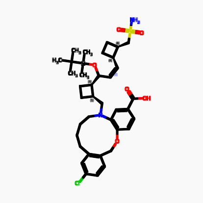 CC(C)(C)[Si](C)(C)OC(/C=C\[C@H]1CC[C@H]1CS(N)(=O)=O)[C@@H]1CC[C@@H]1CN1CCCCc2cc(Cl)ccc2COc2ccc(C(=O)O)cc21